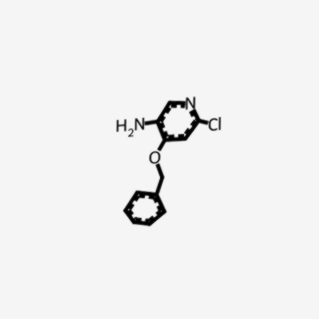 Nc1cnc(Cl)cc1OCc1ccccc1